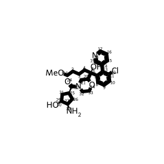 COCCCC[C@@](O)(c1cccc(Cl)c1-c1cccnc1)C1CN(C(=O)[C@H]2C[C@@H](N)[C@@H](O)C2)CCO1